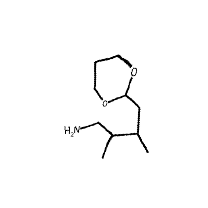 CC(CN)C(C)CC1OCCCO1